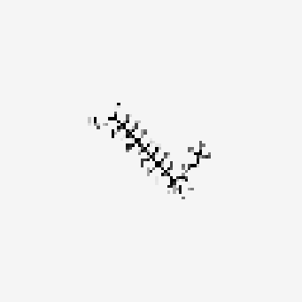 C=C(C(=O)OCC(F)(F)F)C(F)(F)C(F)(F)C(F)(F)C(F)(F)C(F)(F)C(F)(F)C(F)(F)C(C)F